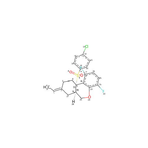 CC=C1CC[C@@]2(S(=O)(=O)c3ccc(Cl)cc3)c3c(F)ccc(F)c3OC[C@H]2C1